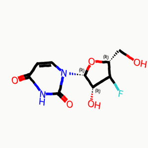 O=c1ccn([C@@H]2O[C@H](CO)C(F)[C@@H]2O)c(=O)[nH]1